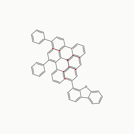 c1ccc(-c2ccc(-c3ccccc3N(c3ccc(-c4cccc5c4oc4ccccc45)cc3)c3cccc(-c4ccccc4)c3-c3ccccc3-c3ccccc3)cc2)cc1